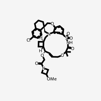 COC1CN(C(=O)CO[C@H]2/C=C/COC(C)(C)C(=O)NS(=O)(=O)c3ccc4c(c3)N(C[C@@H]3CC[C@H]32)C[C@@]2(CCCc3cc(Cl)ccc32)CO4)C1